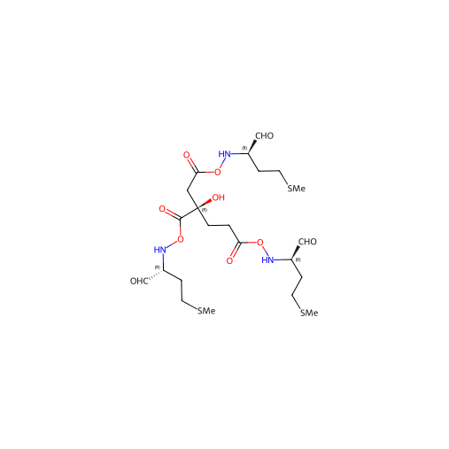 CSCC[C@H](C=O)NOC(=O)CC[C@@](O)(CC(=O)ON[C@@H](C=O)CCSC)C(=O)ON[C@@H](C=O)CCSC